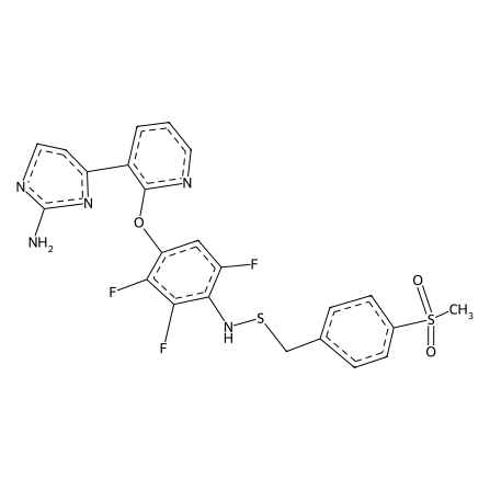 CS(=O)(=O)c1ccc(CSNc2c(F)cc(Oc3ncccc3-c3ccnc(N)n3)c(F)c2F)cc1